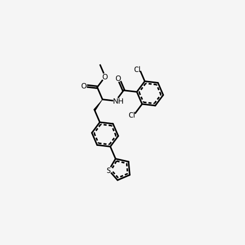 COC(=O)[C@H](Cc1ccc(-c2cccs2)cc1)NC(=O)c1c(Cl)cccc1Cl